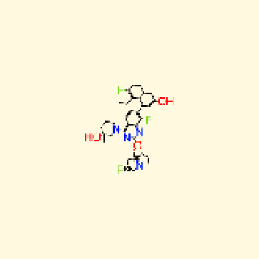 CCc1c(F)ccc2cc(O)cc(-c3ccc4c(N5CCCC(C)(O)C5)nc(OC[C@@]56CCCN5C[C@H](F)C6)nc4c3F)c12